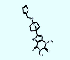 CCCn1c(=O)c2[nH]c(C34CCC(NCc5cccs5)(CC3)CC4)nc2n(CCC)c1=O